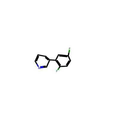 Fc1ccc(F)c(-c2cccnc2)c1